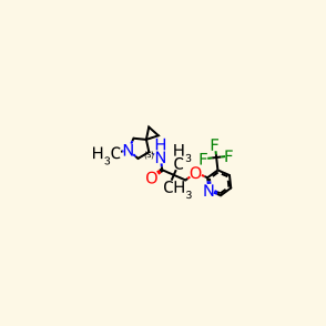 CN1C[C@@H](NC(=O)C(C)(C)COc2ncccc2C(F)(F)F)C2(CC2)C1